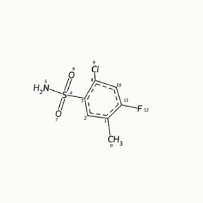 Cc1cc(S(N)(=O)=O)c(Cl)cc1F